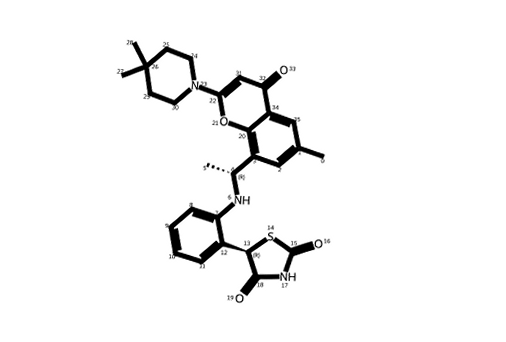 Cc1cc([C@@H](C)Nc2ccccc2[C@H]2SC(=O)NC2=O)c2oc(N3CCC(C)(C)CC3)cc(=O)c2c1